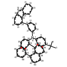 CC(C)(C)c1ccc(N(c2cccc(-c3cccc4sc5ccccc5c34)c2)c2ccccc2-c2cccc3cccc(-c4ccccc4)c23)cc1